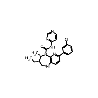 CC[C@@H]1CNc2ccc(-c3cccc(Cl)c3)nc2N(C(=O)Nc2ccncn2)[C@@H]1C